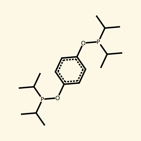 CC(C)P(Oc1ccc(OP(C(C)C)C(C)C)cc1)C(C)C